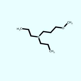 CCCN(CCC)CCCOC